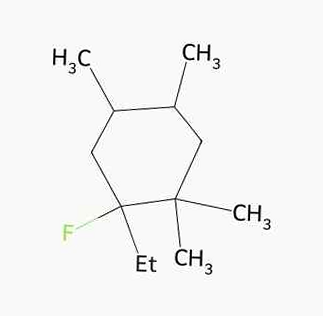 CCC1(F)CC(C)C(C)CC1(C)C